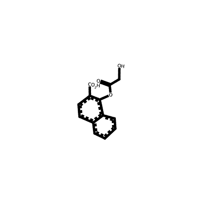 O=C(CO)Oc1c(C(=O)O)ccc2ccccc12